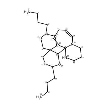 NCCCC1OCC2(CO1)COC(CCCN)OC2C12CCCC=CN1CCCN2